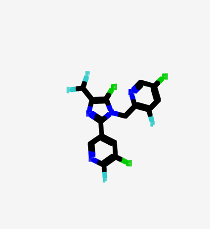 Fc1cc(Cl)cnc1Cn1c(-c2cnc(F)c(Cl)c2)nc(C(F)F)c1Cl